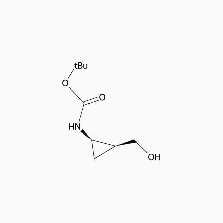 CC(C)(C)OC(=O)N[C@@H]1C[C@@H]1CO